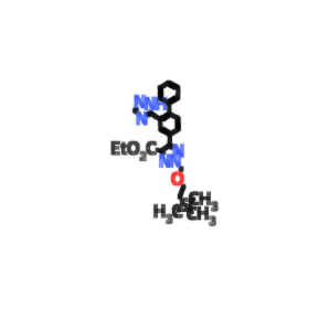 CCOC(=O)c1nn(COCC[Si](C)(C)C)nc1-c1ccc(-c2ccccc2)c(-c2ncn[nH]2)c1